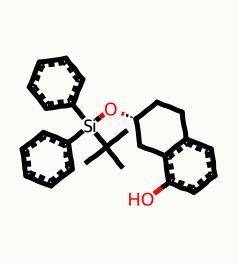 CC(C)(C)[Si](O[C@@H]1CCc2cccc(O)c2C1)(c1ccccc1)c1ccccc1